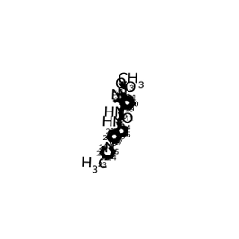 COC(=O)n1ncc2c(NC(=O)NC3CCc4cc(N5CCC(C)CC5)ccc43)cccc21